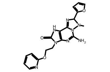 CN1C(c2ccco2)N=C2c3[nH]c(=O)n(CCOc4ccccn4)c3N=C(N)N21